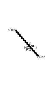 CCCCCCCCCCCCCCCCCCCCCCCCC(=O)C(O)C(N)C(O)CCCCCCCCCCCCCCCCC